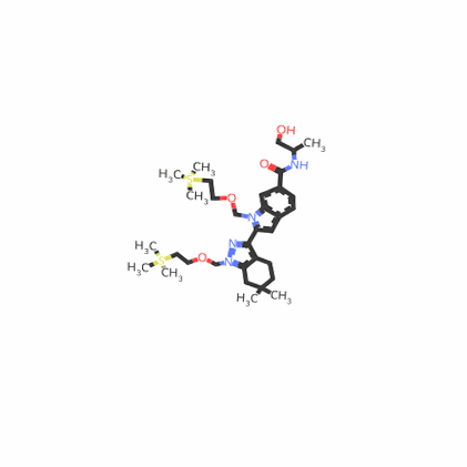 CC(CO)NC(=O)c1ccc2cc(-c3nn(COCCS(C)(C)C)c4c3CCC(C)(C)C4)n(COCCS(C)(C)C)c2c1